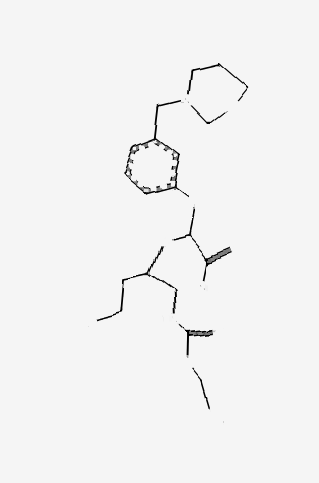 CCCC(CNC(=O)OCC)SC(Oc1cccc(CN2CCCCC2)c1)C(N)=O